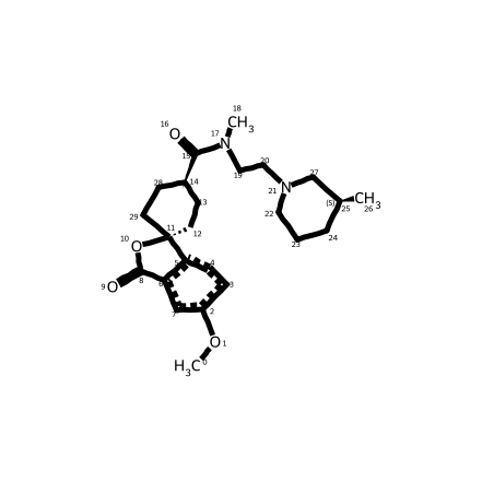 COc1ccc2c(c1)C(=O)O[C@]21CC[C@H](C(=O)N(C)CCN2CCC[C@H](C)C2)CC1